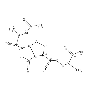 CC(=O)NC(C)C(=O)N1CC(=O)C2C1CCN2C(=O)[CH]CC(C)C(N)=O